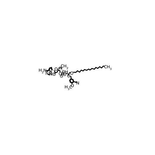 C=NC[C@@]1(COP(=O)(O)OC[C@@H](COCCCCCCCCCCCCCCCCCC)OCc2ccc(OC)c(C#N)c2)C[C@@H](O)[C@H](c2ccc3c(N)ncnn23)O1